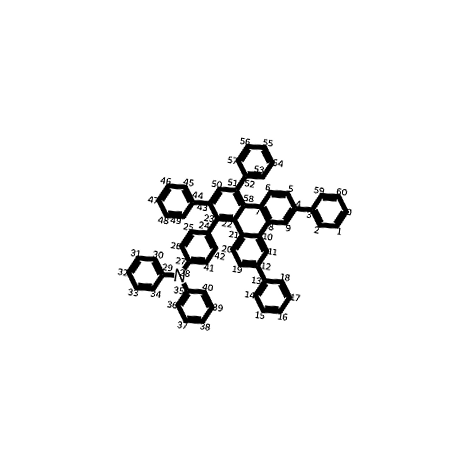 c1ccc(-c2ccc3c(c2)c2cc(-c4ccccc4)ccc2c2c(-c4ccc(N(c5ccccc5)c5ccccc5)cc4)c(-c4ccccc4)cc(-c4ccccc4)c32)cc1